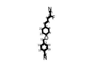 N#CC(F)=CC=CC1CCC(OCc2ccc(C#N)cc2)CC1